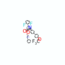 O=C(OC/C=C/c1ccccc1)[C@H]1CC(c2c(F)cccc2F)=N[C@H]1c1ccc(-c2ccc(OC(F)(F)F)cc2)cc1